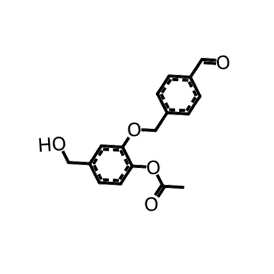 CC(=O)Oc1ccc(CO)cc1OCc1ccc(C=O)cc1